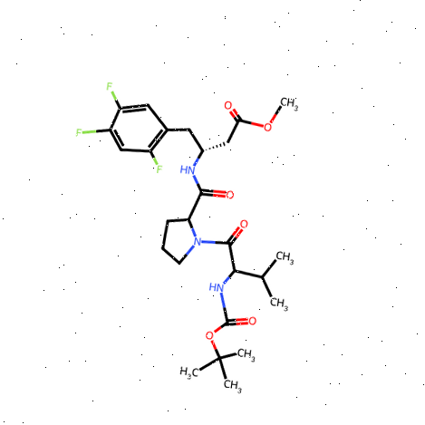 COC(=O)C[C@@H](Cc1cc(F)c(F)cc1F)NC(=O)C1CCCN1C(=O)C(NC(=O)OC(C)(C)C)C(C)C